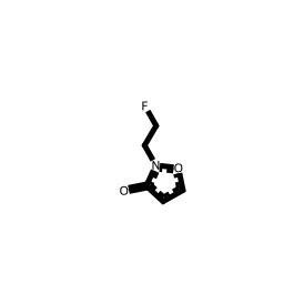 O=c1ccon1CCF